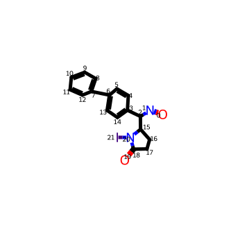 O=NC(c1ccc(-c2ccccc2)cc1)C1CCC(=O)N1I